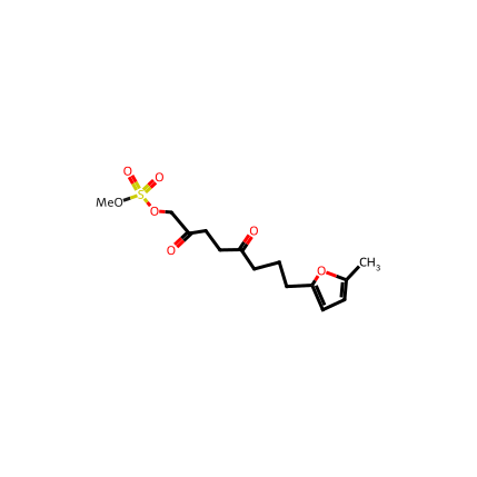 COS(=O)(=O)OCC(=O)CCC(=O)CCCc1ccc(C)o1